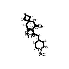 CC(=O)N1CCC(Cc2onc3c2C(=O)CC2(CCC2)C3)CC1